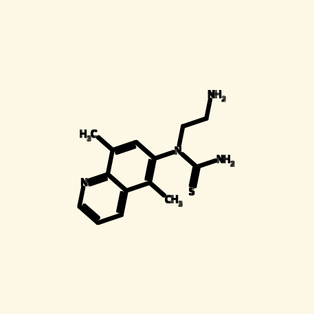 Cc1c(N(CCN)C(N)=S)cc(C)c2ncccc12